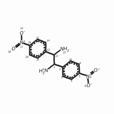 NC(c1ccc([N+](=O)[O-])cc1)C(N)c1ccc([N+](=O)[O-])cc1